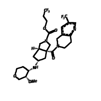 CO[C@@H]1COCC[C@@H]1N[C@@H]1C[C@H]2CN(C(=O)OCCC(F)(F)F)C[C@@]2(C(=O)N2CCc3ncc(C(F)(F)F)cc3C2)C1